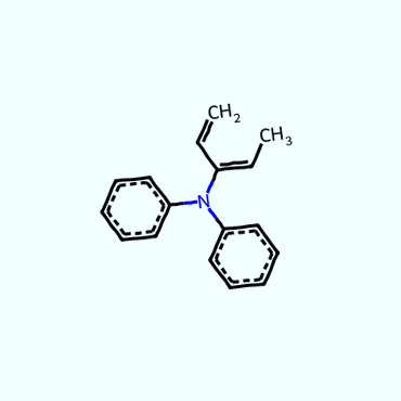 C=C/C(=C\C)N(c1ccccc1)c1ccccc1